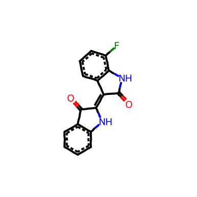 O=C1Nc2c(F)cccc2/C1=C1/Nc2ccccc2C1=O